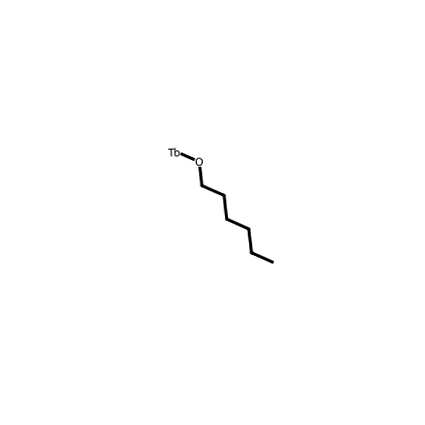 CCCCCC[O][Tb]